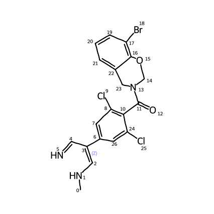 CN/C=C(\C=N)c1cc(Cl)c(C(=O)N2COc3c(Br)cccc3C2)c(Cl)c1